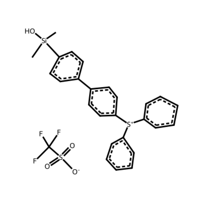 C[Si](C)(O)c1ccc(-c2ccc([S+](c3ccccc3)c3ccccc3)cc2)cc1.O=S(=O)([O-])C(F)(F)F